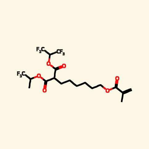 C=C(C)C(=O)OCCCCCCC(C(=O)OC(C)C(F)(F)F)C(=O)OC(C(F)(F)F)C(F)(F)F